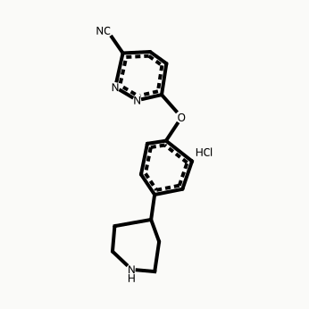 Cl.N#Cc1ccc(Oc2ccc(C3CCNCC3)cc2)nn1